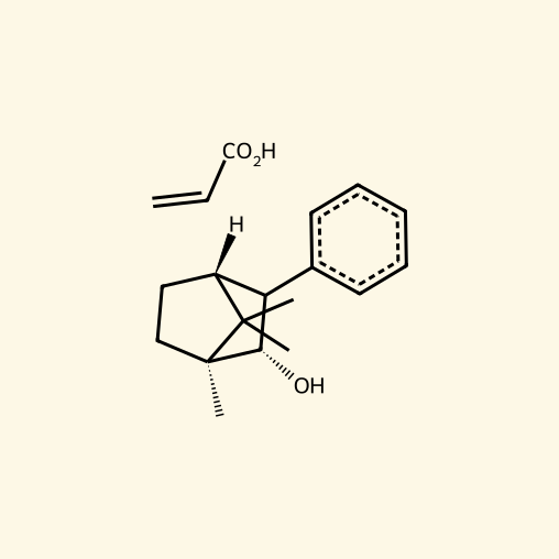 C=CC(=O)O.CC1(C)[C@@H]2CC[C@]1(C)[C@@H](O)C2c1ccccc1